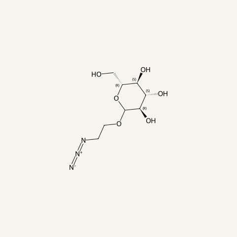 [N-]=[N+]=NCCOC1O[C@H](CO)[C@@H](O)[C@H](O)[C@H]1O